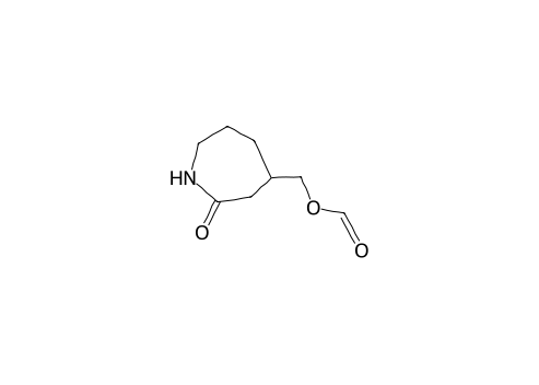 O=COCC1CCCNC(=O)C1